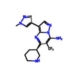 Cn1cc(-c2cnn3c(N)c(C(F)(F)F)c([C@@H]4CCCNC4)nc23)cn1